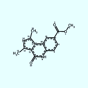 COC(=O)c1ccc2[nH]c(=O)c3c(C)nc(C)n3c2c1